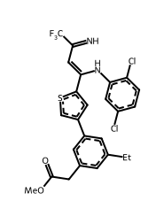 CCc1cc(CC(=O)OC)cc(-c2csc(/C(=C/C(=N)C(F)(F)F)Nc3cc(Cl)ccc3Cl)c2)c1